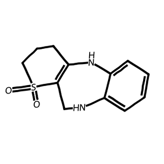 O=S1(=O)CCCC2=C1CNc1ccccc1N2